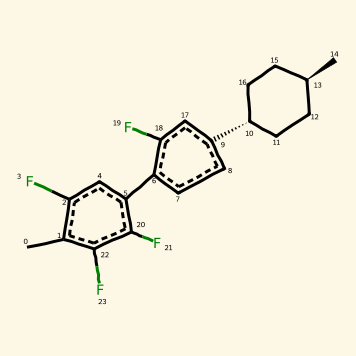 Cc1c(F)cc(-c2ccc([C@H]3CC[C@H](C)CC3)cc2F)c(F)c1F